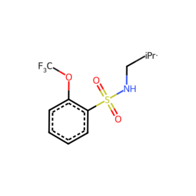 C[C](C)CNS(=O)(=O)c1ccccc1OC(F)(F)F